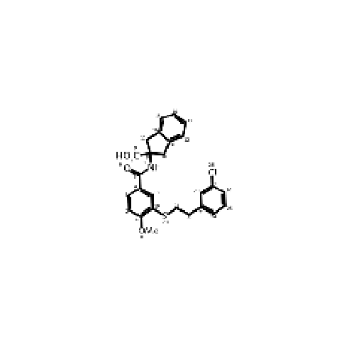 COc1ccc(C(=O)NC2(C(=O)O)Cc3ccccc3C2)cc1SCCc1cccc(Cl)c1